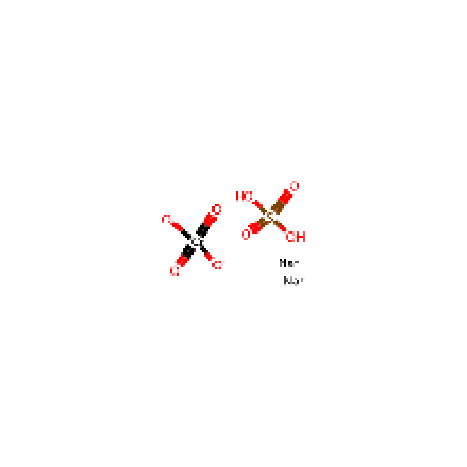 O=S(=O)(O)O.[Na+].[Na+].[O]=[Cr](=[O])([O-])[O-]